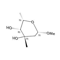 CO[C@@H]1C[C@](C)(O)[C@H](O)[C@H](C)O1